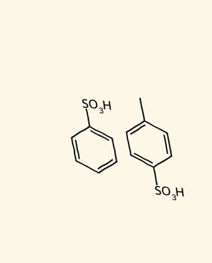 Cc1ccc(S(=O)(=O)O)cc1.O=S(=O)(O)c1ccccc1